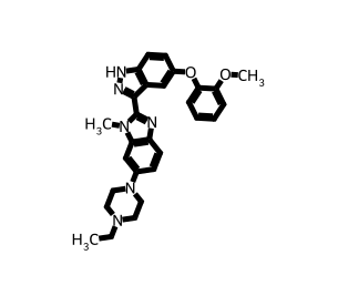 CCN1CCN(c2ccc3nc(-c4n[nH]c5ccc(Oc6ccccc6OC)cc45)n(C)c3c2)CC1